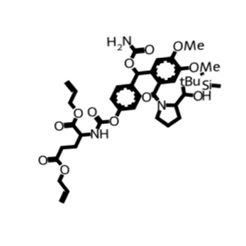 C=CCOC(=O)CCC(NC(=O)Oc1ccc(C(OC(N)=O)c2cc(OC)c(OC)cc2C(=O)N2CCCC2C(O[SiH](C)C)C(C)(C)C)cc1)C(=O)OCC=C